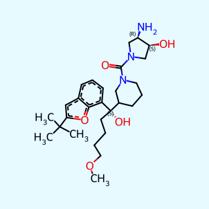 COCCCC[C@@](O)(c1cccc2cc(C(C)(C)C)oc12)C1CCCN(C(=O)N2C[C@@H](N)[C@@H](O)C2)C1